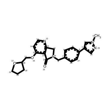 Cn1cc(-c2ccc(CN3Cc4nccc(OCC5CCCO5)c4C3=O)cc2)cn1